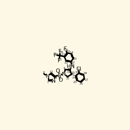 Cn1cnc(S(=O)(=O)N2C[C@@H](Nc3ccc(F)c(C(F)(F)F)c3)[C@H](c3ccccc3Cl)C2)c1